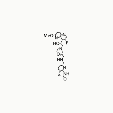 COc1ccc2ncc(F)c(C(O)CN3CCO[C@H](CNCc4ccc5c(n4)NC(=O)CS5)C3)c2n1